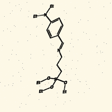 CCO[Si](CCCN=Cc1ccc(N(CC)CC)cc1)(OCC)OCC